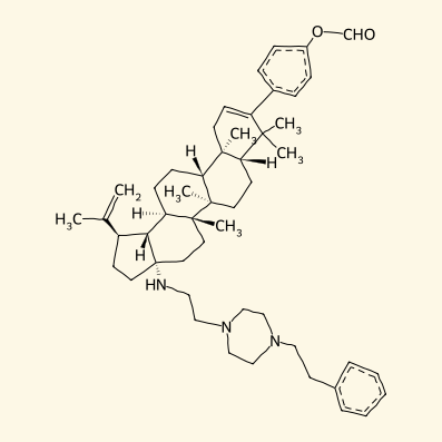 C=C(C)[C@@H]1CC[C@]2(NCCN3CCN(CCc4ccccc4)CC3)CC[C@]3(C)[C@H](CC[C@@H]4[C@@]5(C)CC=C(c6ccc(OC=O)cc6)C(C)(C)[C@@H]5CC[C@]43C)[C@@H]12